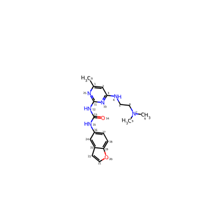 Cc1cc(NCCN(C)C)nc(NC(=O)Nc2ccc3occc3c2)n1